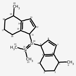 CC1CCCC2=C1C=C[CH]2[Zr]([CH]1C=CC2=C1CCCC2C)=[Si](C)C